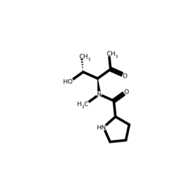 CC(=O)[C@H]([C@@H](C)O)N(C)C(=O)C1CCCN1